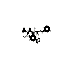 CC(=O)N1c2ccc(S(C)(=O)=O)cc2[C@H](NC(=O)OCc2ccccc2)C(C)[C@@H]1C1CC1